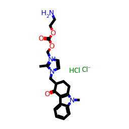 Cc1n(CC2CCc3c(c4ccccc4n3C)C2=O)cc[n+]1COC(=O)OCCN.Cl.[Cl-]